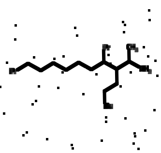 CCC(C)CCC(C(C)N)C(CCCCCCC(C)C)C(C)C